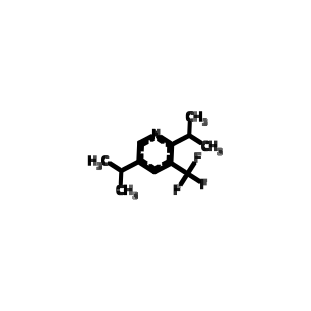 CC(C)c1cnc(C(C)C)c(C(F)(F)F)c1